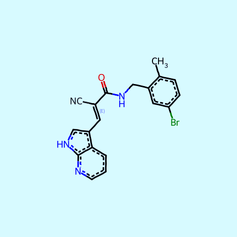 Cc1ccc(Br)cc1CNC(=O)/C(C#N)=C/c1c[nH]c2ncccc12